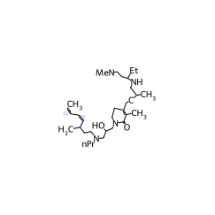 C/C=C\C=C/C(C)CCN(CCC)CC(O)CN1CCC(CCC(C)CNC(CC)CCNC)=C(C)C1=O